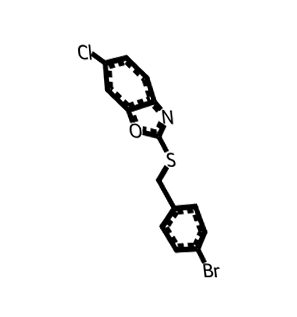 Clc1ccc2nc(SCc3ccc(Br)cc3)oc2c1